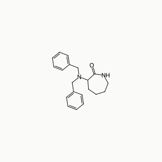 O=C1NCCCCC1N(Cc1ccccc1)Cc1ccccc1